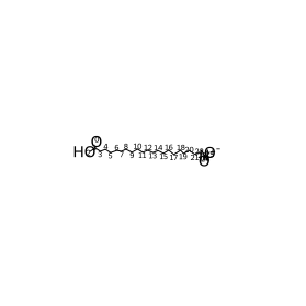 O=C(O)CCCCCCCCCCCCCCCCCCCC[N+](=O)[O-]